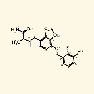 CC(NCc1ccc(OCc2cccc(F)c2F)c2c1OCO2)C(N)=O